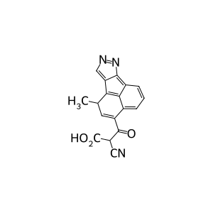 CC1C=C(C(=O)C(C#N)C(=O)O)c2cccc3c2=C1C1=CN=NC=31